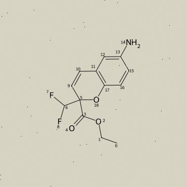 CCOC(=O)C1(C(F)F)C=Cc2cc(N)ccc2O1